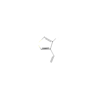 Bc1cscc1C=C